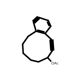 CC(=O)OC1C#Cc2ccc#cc2CCCCC1